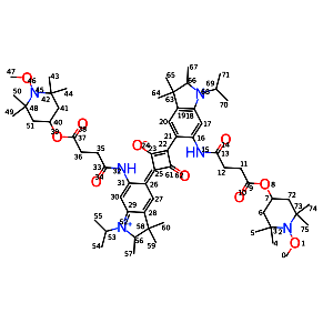 CON1C(C)(C)CC(OC(=O)CCC(=O)Nc2cc3c(cc2C2=C([O-])/C(=c4/cc5c(cc4NC(=O)CCC(=O)OC4CC(C)(C)N(OC)C(C)(C)C4)=[N+](C(C)C)C(C)C5(C)C)C2=O)C(C)(C)C(C)N3C(C)C)CC1(C)C